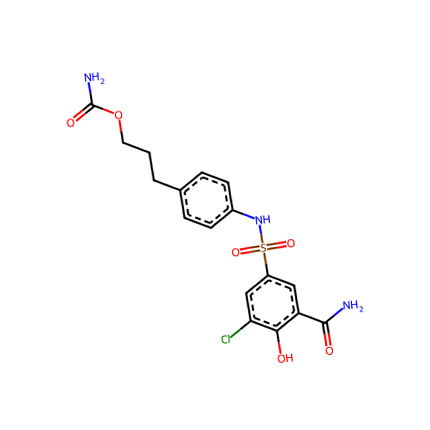 NC(=O)OCCCc1ccc(NS(=O)(=O)c2cc(Cl)c(O)c(C(N)=O)c2)cc1